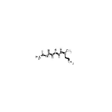 [CH2]B(BBBBBBBC)CC=C